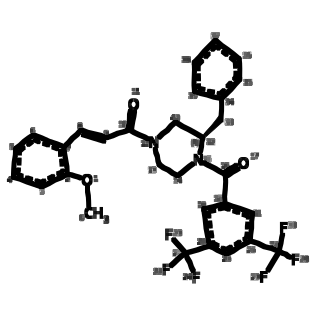 COc1ccccc1C=CC(=O)N1CCN(C(=O)c2cc(C(F)(F)F)cc(C(F)(F)F)c2)[C@H](Cc2ccccc2)C1